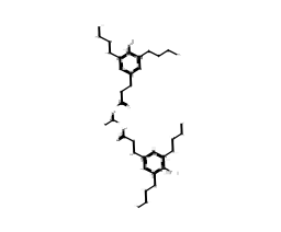 CCCCc1cc(CCC(=O)OC(C)OC(=O)CCc2cc(CCCC)c(O)c(CCCC)c2)cc(CCCC)c1O